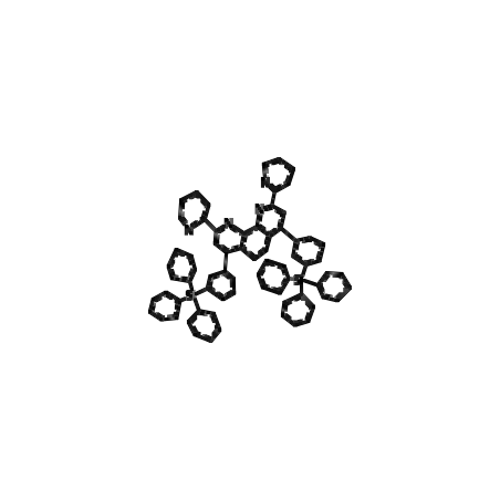 c1ccc([Si](c2ccccc2)(c2ccccc2)c2cccc(-c3cc(-c4ccccn4)nc4c3ccc3c(-c5cccc([Si](c6ccccc6)(c6ccccc6)c6ccccc6)c5)cc(-c5ccccn5)nc34)c2)cc1